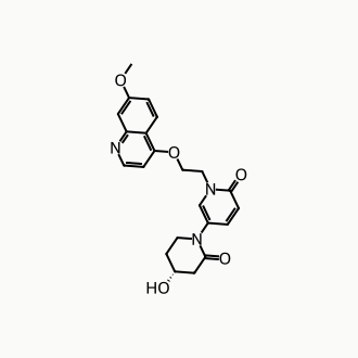 COc1ccc2c(OCCn3cc(N4CC[C@@H](O)CC4=O)ccc3=O)ccnc2c1